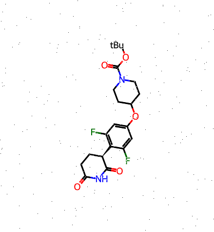 CC(C)(C)OC(=O)N1CCC(Oc2cc(F)c([C@@H]3CCC(=O)NC3=O)c(F)c2)CC1